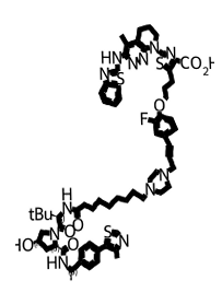 Cc1ncsc1-c1ccc([C@H](C)NC(=O)[C@@H]2C[C@@H](O)CN2C(=O)[C@@H](NC(=O)CCCCCCCCN2CCN(CC#Cc3ccc(OCCCc4sc(N5CCCc6c5nnc(Nc5nc7ccccc7s5)c6C)nc4C(=O)O)c(F)c3)CC2)C(C)(C)C)cc1